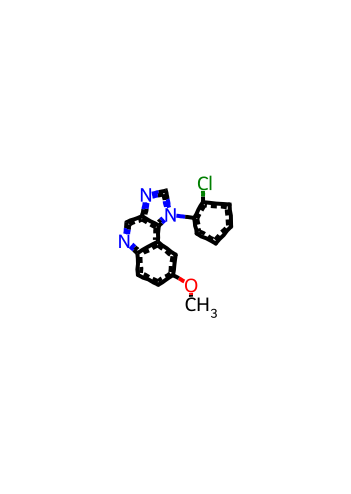 COc1ccc2ncc3ncn(-c4ccccc4Cl)c3c2c1